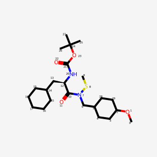 COC1CCC(CN(SC)C(=O)[C@@H](CC2CCCCC2)NC(=O)OC(C)(C)C)CC1